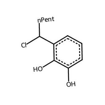 CCCCCC(Cl)c1cccc(O)c1O